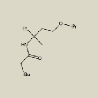 CCC(C)CC(=O)NC(C)(CC)CCOC(C)C